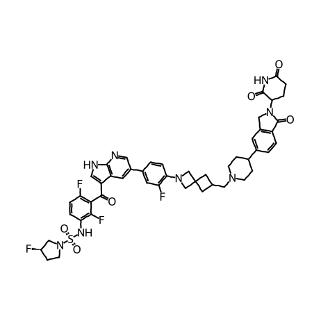 O=C1CCC(N2Cc3cc(C4CCN(CC5CC6(C5)CN(c5ccc(-c7cnc8[nH]cc(C(=O)c9c(F)ccc(NS(=O)(=O)N%10CC[C@@H](F)C%10)c9F)c8c7)cc5F)C6)CC4)ccc3C2=O)C(=O)N1